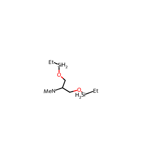 CC[SiH2]OCC(CO[SiH2]CC)NC